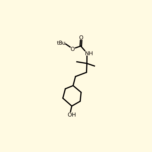 CC(C)(CCC1CCC(O)CC1)NC(=O)OC(C)(C)C